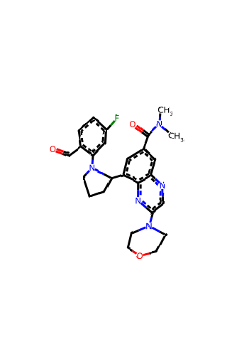 CN(C)C(=O)c1cc(C2CCCN2c2cc(F)ccc2C=O)c2nc(N3CCOCC3)cnc2c1